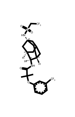 CC(C)(Oc1cccc(C(F)(F)F)c1)C(=O)N[C@H]1[C@@H]2CC3C[C@H]1C[C@](NS(=O)(=O)CC(F)(F)F)(C3)C2